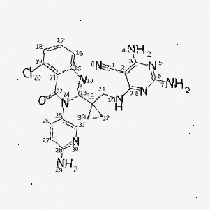 N#Cc1c(N)nc(N)nc1NCC1(c2nc3cccc(Cl)c3c(=O)n2-c2ccc(N)nc2)CC1